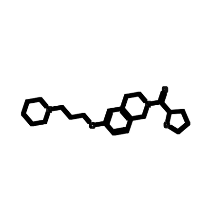 O=C(C1CCCO1)N1CCc2cc(OCCCN3CCCCC3)ccc2C1